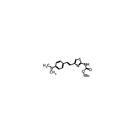 CN(C)c1ccc(C=Cc2csc(NC(=O)OC(C)(C)C)n2)cc1